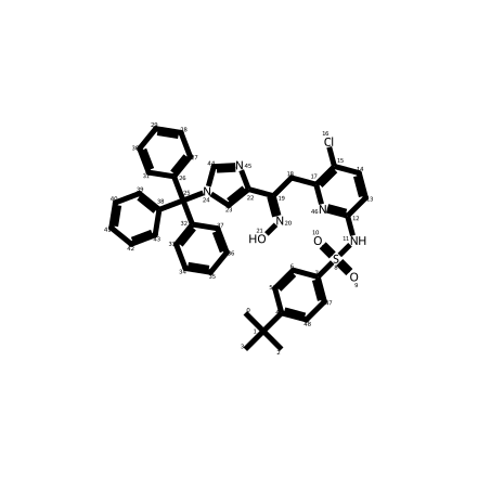 CC(C)(C)c1ccc(S(=O)(=O)Nc2ccc(Cl)c(CC(=NO)c3cn(C(c4ccccc4)(c4ccccc4)c4ccccc4)cn3)n2)cc1